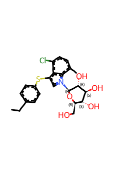 CCc1ccc(Sc2cn([C@@H]3O[C@H](CO)[C@@H](O)[C@H](O)[C@H]3O)c3c(C)ccc(Cl)c23)cc1